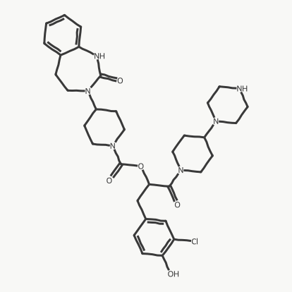 O=C(OC(Cc1ccc(O)c(Cl)c1)C(=O)N1CCC(N2CCNCC2)CC1)N1CCC(N2CCc3ccccc3NC2=O)CC1